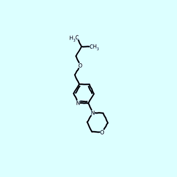 CC(C)COCc1ccc(N2CCOCC2)nc1